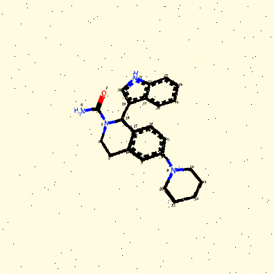 NC(=O)N1CCc2cc(N3CCCCC3)ccc2C1c1c[nH]c2ccccc12